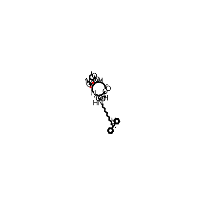 CC[C@H]1OC(=O)[C@H](C)C[C@H](C)[C@@H](O[C@@H]2O[C@H](C)C[C@H](N(C)C)[C@H]2OC(C)=O)[C@](C)(O)C[C@@H](C)CN(C)[C@H](C)[C@@H](OC(=O)NCCCCCCCCCC[PH](C)(c2ccccc2)c2ccccc2)[C@]1(C)O